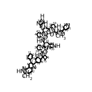 C=C1NN=C2c3cc(-c4ccccc4)c(-c4ccc(C5(NC(=O)[C@@H]6CCCN6C(=O)[C@H](Cc6c[nH]cn6)NC(=O)[C@@H]6CCCN6C(=O)[C@H](Cc6c[nH]cn6)NC(=O)[C@@H]6CCCN6C(=O)[C@@H](C)NC(=O)c6ccncc6)CCC5)cc4)nc3C=CN12